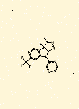 C[N+]12c3cnc(C(F)(F)F)cc3N(c3cnccn3)C1N=NN2Cl